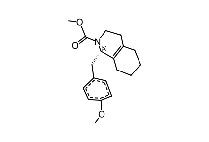 COC(=O)N1CCC2=C(CCCC2)[C@@H]1Cc1ccc(OC)cc1